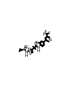 CC(C)(C(=O)Nc1ccc(-c2cncc(C(F)(F)F)c2)cc1F)c1csc(N[S+]([O-])C2CC2)n1